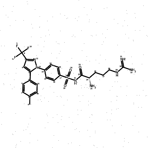 Cc1ccc(-c2cc(C(F)(F)F)nn2-c2ccc(S(=O)(=O)NC(=O)[C@@H](N)CCCNC(=N)N)cc2)cc1